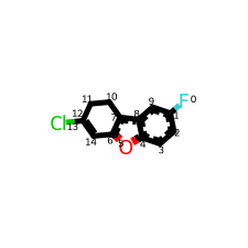 Fc1ccc2oc3c(c2c1)CCC(Cl)=C3